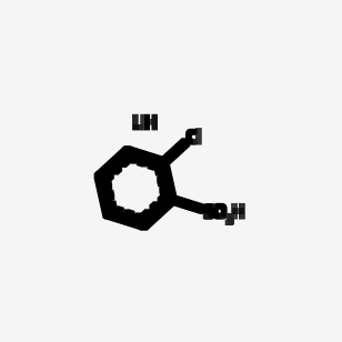 O=S(=O)(O)c1ccccc1Cl.[LiH]